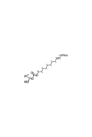 CCCCCC/C=C/CCCCCCCCOC(=O)OC(C(C)C)C(C)(C)C